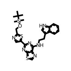 CC(C)(C)[Si](C)(C)OCc1ncc(-c2nc(NCCc3c[nH]c4ccccc34)c3ncsc3n2)s1